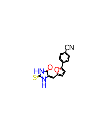 N#Cc1ccc(-c2ccc(C=C3NC(=S)NC3=O)o2)cc1